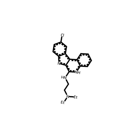 CCN(CC)CCNc1[nH]c2ccccc2c2c3cc(Cl)ccc3nc1-2